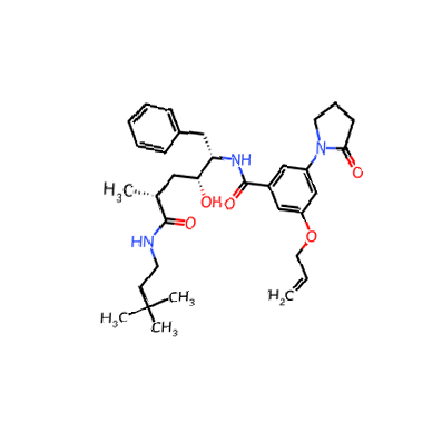 C=CCOc1cc(C(=O)N[C@@H](Cc2ccccc2)[C@H](O)C[C@@H](C)C(=O)NCCC(C)(C)C)cc(N2CCCC2=O)c1